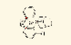 Clc1ccccc1C(c1ccccc1Cl)N1C2CCC1CC(n1cccc1)C2